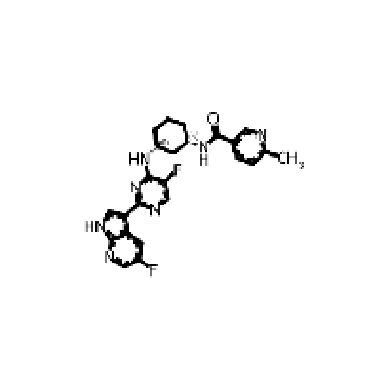 Cc1ccc(C(=O)N[C@H]2CCC[C@@H](Nc3nc(-c4c[nH]c5ncc(F)cc45)ncc3F)C2)cn1